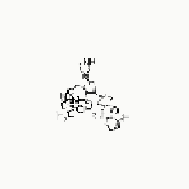 CC(C)(C)NC(=O)c1c(-c2ccc(Oc3c(F)cccc3F)cc2)cn([C@@H]2CCNC2)c1C=O